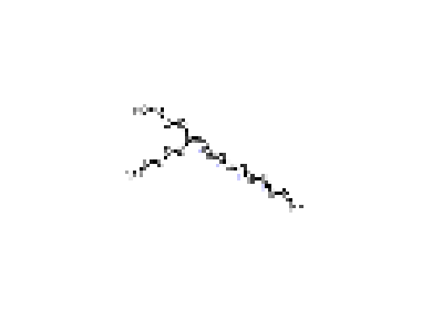 N=N/N=N/N=N/N=N/N=N/N(OOOO)OOOOO